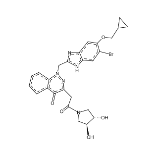 O=C(Cc1nn(Cc2nc3cc(OCC4CC4)c(Br)cc3[nH]2)c2ccccc2c1=O)N1C[C@H](O)[C@@H](O)C1